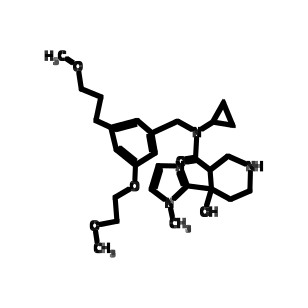 COCCCc1cc(CN(C(=O)C2CNCCC2(O)c2nccn2C)C2CC2)cc(OCCOC)c1